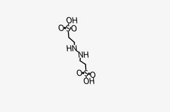 O=S(=O)(O)CCNNCCS(=O)(=O)O